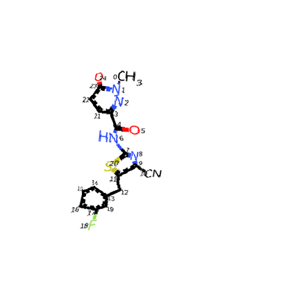 Cn1nc(C(=O)Nc2nc(C#N)c(Cc3cccc(F)c3)s2)ccc1=O